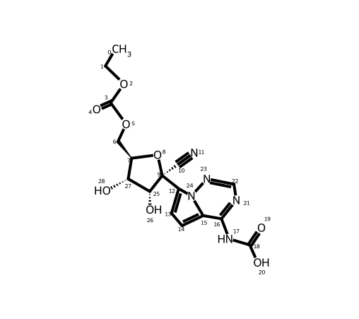 CCOC(=O)OC[C@H]1O[C@@](C#N)(c2ccc3c(NC(=O)O)ncnn23)[C@H](O)[C@@H]1O